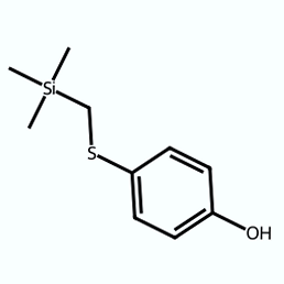 C[Si](C)(C)CSc1ccc(O)cc1